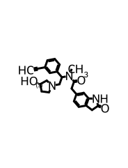 C#Cc1cccc(C(CN2CC[C@H](O)C2)N(C)C(=O)Cc2ccc3c(c2)NC(=O)C3)c1